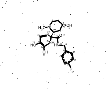 CN1CC[C@@H](O)C[C@H]1C1(C(=O)NCc2ccc(F)cc2)N=CC(O)=C(O)N1